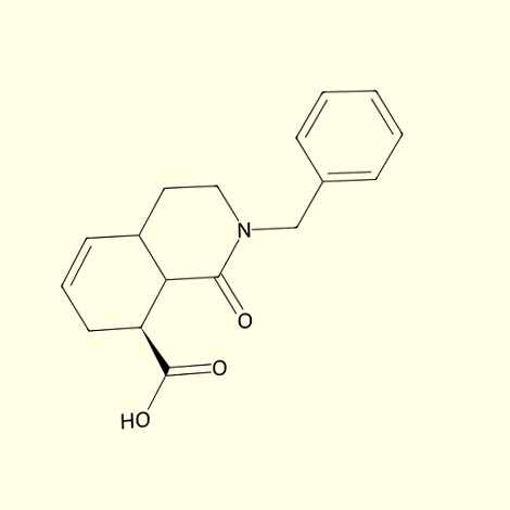 O=C(O)[C@H]1CC=CC2CCN(Cc3ccccc3)C(=O)C21